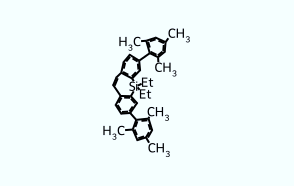 CC[Si]1(CC)c2cc(-c3c(C)cc(C)cc3C)ccc2C=Cc2ccc(-c3c(C)cc(C)cc3C)cc21